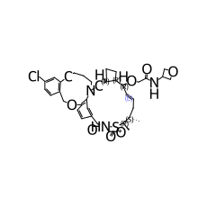 C[C@@H]1[C@@H](C)C/C=C/[C@H](OCC(=O)NC2COC2)[C@@H]2CC[C@H]2CN2CCCCc3cc(Cl)ccc3COc3ccc(cc32)C(=O)NS1(=O)=O